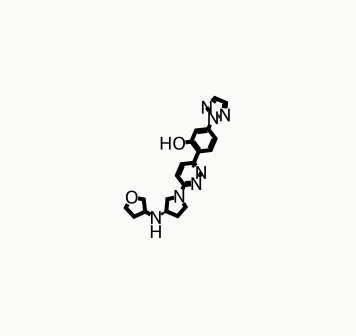 Oc1cc(-n2nccn2)ccc1-c1ccc(N2CC[C@@H](NC3CCOC3)C2)nn1